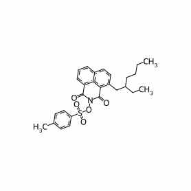 CCCCC(CC)Cc1ccc2cccc3c2c1C(=O)N(OS(=O)(=O)c1ccc(C)cc1)C3=O